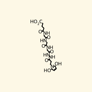 O=C(O)CCCC(=O)NCC(=O)NCC(=O)NCC(=O)NNC(=O)CCN1[C@H](O)C=C[C@@H]1O